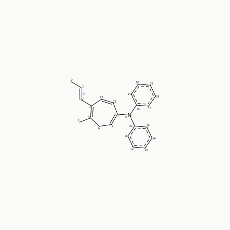 C/C=C/C1=C(C)CC=C(N(c2ccccc2)c2ccccc2)C=C1